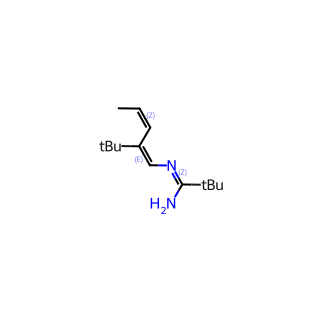 C\C=C/C(=C\N=C(/N)C(C)(C)C)C(C)(C)C